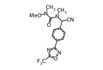 CON(C)C(=O)N(C)C(C#N)c1ccc(-c2noc(C(F)(F)F)n2)cc1